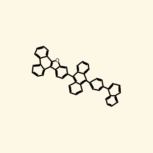 c1ccc2c(-c3ccc(-c4c5ccccc5c(-c5ccc6c(c5)oc5c7ccccc7c7ccccc7c65)c5ccccc45)cc3)cccc2c1